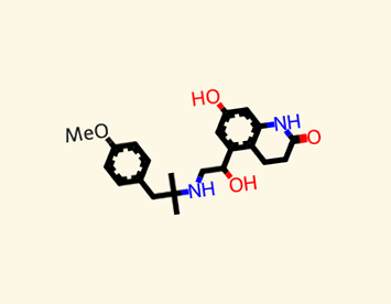 COc1ccc(CC(C)(C)NCC(O)c2cc(O)cc3c2CCC(=O)N3)cc1